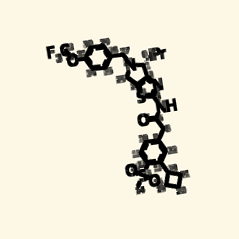 CC(C)[C@@H]1c2nc(NC(=O)Cc3ccc(S(C)(=O)=O)c(C4CCC4)c3)sc2CN1Cc1ccc(OC(F)(F)F)cc1